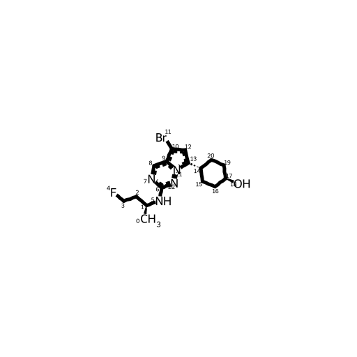 C[C@@H](CCF)Nc1ncc2c(Br)cc([C@H]3CC[C@H](O)CC3)n2n1